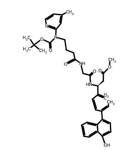 C=C(/C=C\C(=C/C)c1ccc(O)c2ccccc12)[C@H](CC(=O)OC)NC(=O)CNC(=O)CCCN(C(=O)OC(C)(C)C)c1cc(C)ccn1